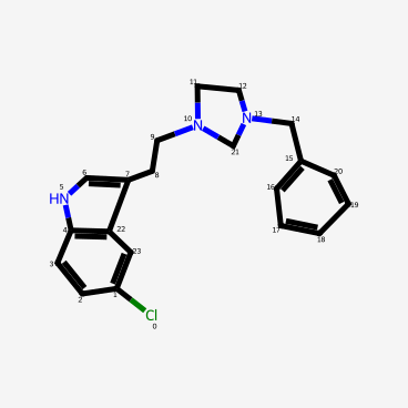 Clc1ccc2[nH]cc(CCN3CCN(Cc4ccccc4)C3)c2c1